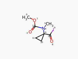 COC(=O)N(C)C1(C(=O)I)CC1